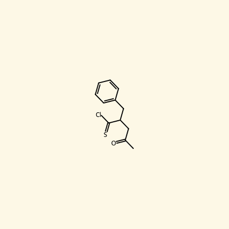 CC(=O)CC(Cc1ccccc1)C(=S)Cl